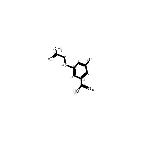 CC(=O)CSc1cc(Cl)cc(C(=O)O)c1